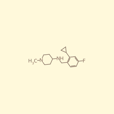 CN1CCC(NCc2ccc(F)cc2C2CC2)CC1